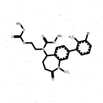 Cc1c(Br)cccc1-c1ccc2c(c1)N(C)C(=O)CCC2N(CCOC(=O)OC(C)(C)C)C(=O)OC(C)(C)C